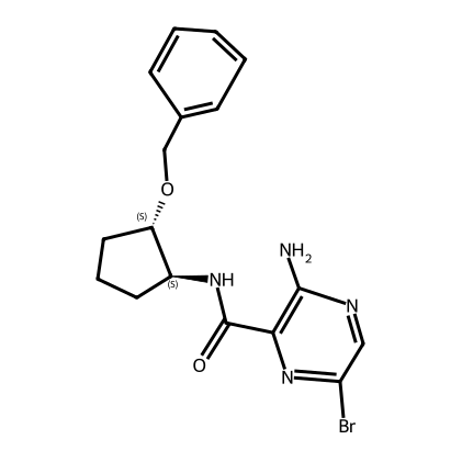 Nc1ncc(Br)nc1C(=O)N[C@H]1CCC[C@@H]1OCc1ccccc1